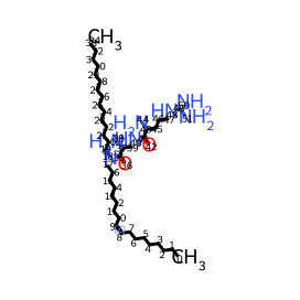 CCCCCCCC/C=C\CCCCCCCCN(CCCCCCCCCCCCCCCC)C(=O)C(N)CNC(=O)C(N)CCCNC(N)N